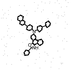 c1ccc(-c2ccc(N(c3ccc(-c4ccc5ccccc5c4)cc3)c3ccc4c5c(c6ccccc6c4c3)NC(c3ccccc3)O5)cc2)cc1